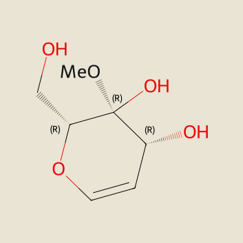 CO[C@]1(O)[C@H](O)C=CO[C@@H]1CO